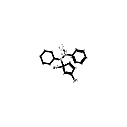 CC(C)C1=CC(C(C)C)(N(C2CCCCC2)[SiH](C)c2ccccc2)C=C1